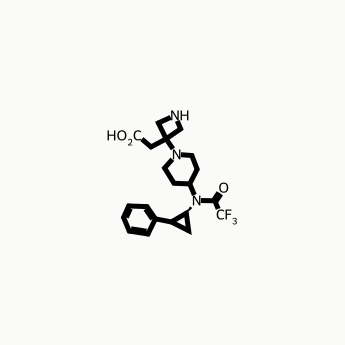 O=C(O)CC1(N2CCC(N(C(=O)C(F)(F)F)[C@@H]3CC3c3ccccc3)CC2)CNC1